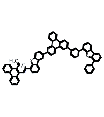 C=Cc1c(/C=C(\C)c2cccc3c2sc2ccc(-c4ccc5c6cc(-c7cccc(-c8cccc9c8sc8c(-c%10ccccc%10)cccc89)c7)ccc6c6ccccc6c5c4)cc23)c2ccccc2c2ccccc12